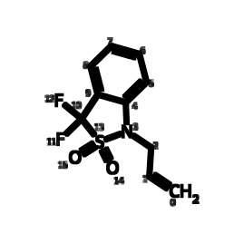 C=CCN1c2ccccc2C(F)(F)S1(=O)=O